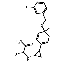 C[C@@H](N[C@H]1CC1C1=CCC(I)(OCc2cccc(F)c2)C=C1)C(N)=O